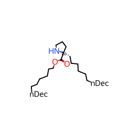 CCCCCCCCCCCCCCCCOC(=O)[C@]1(CCCCCCCCCCCCCCCC)CCCN1